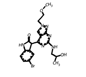 COCCn1cc2c(C3C(=O)Nc4ccc(Br)cc43)nc(NCC(C)O)nc2n1